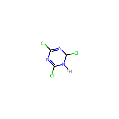 [2H]N1C(Cl)=NC(Cl)=NC1Cl